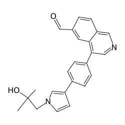 CC(C)(O)Cn1ccc(-c2ccc(-c3cncc4ccc(C=O)cc34)cc2)c1